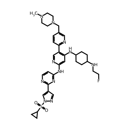 CN1CCN(Cc2ccc(-c3cnc(Nc4ccnc(-c5cnn(S(=O)(=O)C6CC6)c5)n4)cc3NC3CCC(NCCF)CC3)nc2)CC1